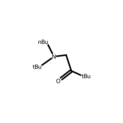 CCCCN(CC(=O)C(C)(C)C)C(C)(C)C